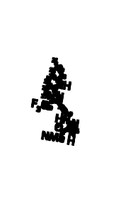 CNC(=O)c1[nH]cnc1NCC#Cc1nc2c(N[C@@H]3CCN(C)C[C@@H]3F)cccn2c1SC(F)(F)F